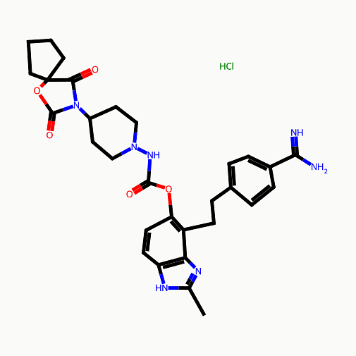 Cc1nc2c(CCc3ccc(C(=N)N)cc3)c(OC(=O)NN3CCC(N4C(=O)OC5(CCCC5)C4=O)CC3)ccc2[nH]1.Cl